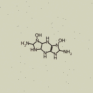 NC1NC2=C(NC3C(N2)NC(N)N3O)N1O